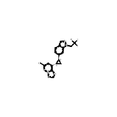 FC(F)(F)Cn1ncc2ccc([C@H]3C[C@@H]3c3cc(Cl)nn4ncnc34)cc21